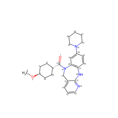 CO[C@H]1CC[C@H](C(=O)N2Cc3cccnc3Nc3ccc(N4CCCCC4)cc32)CC1